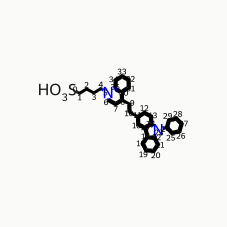 O=S(=O)(O)CCCC[n+]1ccc(/C=C/c2ccc3c(c2)c2ccccc2n3-c2ccccc2)c2ccccc21